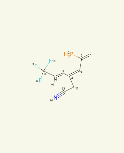 C=C(P)/C=C(\C=C(/C)C(F)(F)F)CC#N